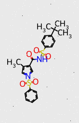 Cc1cn(S(=O)(=O)c2ccccc2)cc1C(=O)NS(=O)(=O)c1ccc(C(C)(C)C)cc1